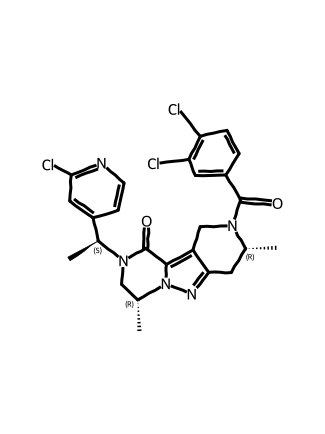 C[C@@H]1Cc2nn3c(c2CN1C(=O)c1ccc(Cl)c(Cl)c1)C(=O)N([C@@H](C)c1ccnc(Cl)c1)C[C@H]3C